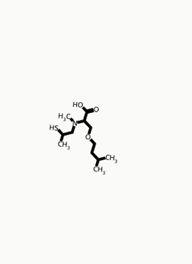 CC(C)CCOCC(C(=O)O)N(C)CC(C)S